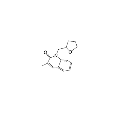 Cc1cc2ccccc2n(CC2CCCO2)c1=O